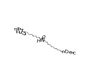 CCCCCCCCCCCCCCCCCCCCCCNC(=O)CCCCCCCCC(O)CCC